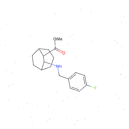 COC(=O)C1C2CCCC(CC2)C1NCc1ccc(F)cc1